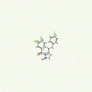 C[C@@H]1CC[C@H](CCc2ccc(F)cc2)N1C(=O)c1ccc(F)c(F)c1